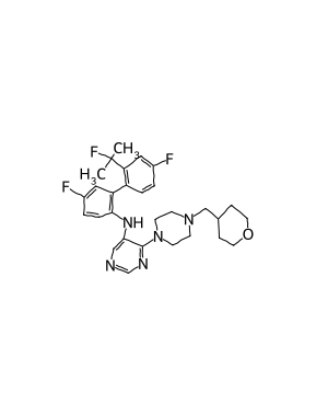 CC(C)(F)c1cc(F)ccc1-c1cc(F)ccc1Nc1cncnc1N1CCN(CC2CCOCC2)CC1